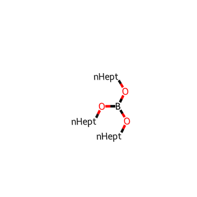 CCCCCCCOB(OCCCCCCC)OCCCCCCC